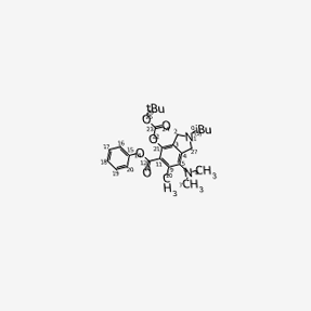 CC[C@H](C)N1Cc2c(c(N(C)C)c(C)c(C(=O)Oc3ccccc3)c2OC(=O)OC(C)(C)C)C1